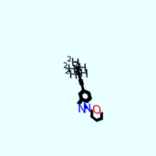 [2H]C([2H])([2H])C([2H])([2H])C#Cc1ccc2c(cnn2C2CCCCO2)c1